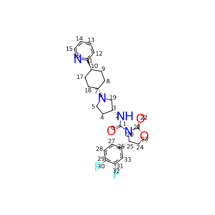 O=C(N[C@@H]1CCN([C@H]2CC[C@H](c3ccccn3)CC2)C1)N1C(=O)OC[C@@H]1c1ccc(F)c(F)c1